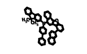 CC1(C)c2ccccc2-c2ccc(N(c3ccc(-c4ccccc4)cc3)c3cc4c(oc5cccc(-c6ccc7ccccc7c6)c54)c4ccccc34)cc21